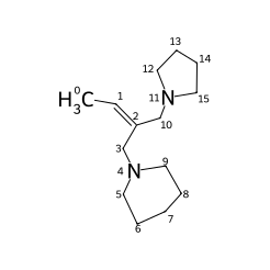 C/C=C(\CN1CCCCC1)CN1CCCC1